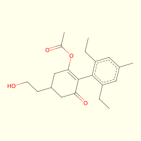 CCc1cc(C)cc(CC)c1C1=C(OC(C)=O)CC(CCO)CC1=O